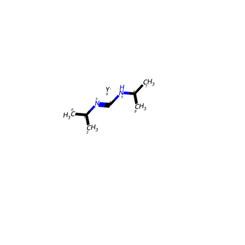 CC(C)N=CNC(C)C.[Y]